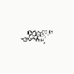 CCOC(=O)CCN(Cc1cccc(CN2CCC(C)C2)c1)c1nc(Cl)nc(N)c1[N+](=O)[O-]